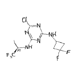 C[C@@H](Nc1nc(Cl)nc(NC2CC(F)(F)C2)n1)C(F)(F)F